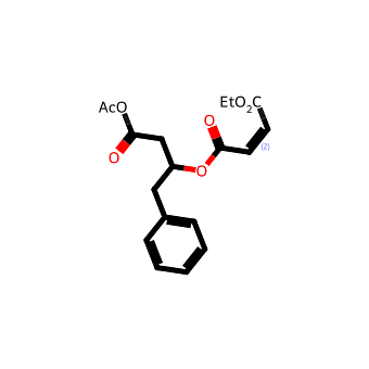 CCOC(=O)/C=C\C(=O)OC(CC(=O)OC(C)=O)Cc1ccccc1